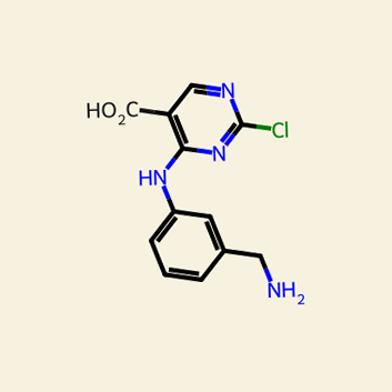 NCc1cccc(Nc2nc(Cl)ncc2C(=O)O)c1